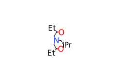 CCC(=O)CN(CC(=O)CC)CC(C)C